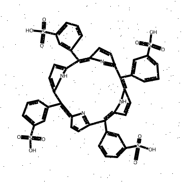 O=S(=O)(O)c1cccc(-c2c3nc(c(-c4cccc(S(=O)(=O)O)c4)c4ccc([nH]4)c(-c4cccc(S(=O)(=O)O)c4)c4nc(c(-c5cccc(S(=O)(=O)O)c5)c5ccc2[nH]5)C=C4)C=C3)c1